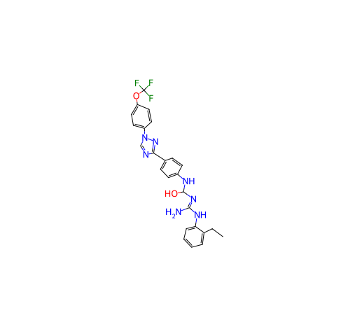 CCc1ccccc1N/C(N)=N/C(O)Nc1ccc(-c2ncn(-c3ccc(OC(F)(F)F)cc3)n2)cc1